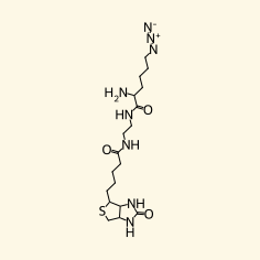 [N-]=[N+]=NCCCCC(N)C(=O)NCCNC(=O)CCCCC1SCC2NC(=O)NC21